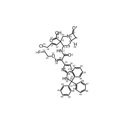 O=C(NC1S[C@@H]2CC(=O)N2CC1(C=CCCl)C(=O)O)C(=NOCCF)c1csc(NC(c2ccccc2)(c2ccccc2)c2ccccc2)n1